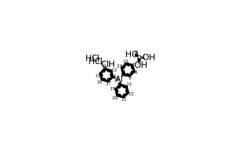 Cl.Cl.Cl.OP(O)O.c1cc[c]([Al]([c]2ccccc2)[c]2ccccc2)cc1